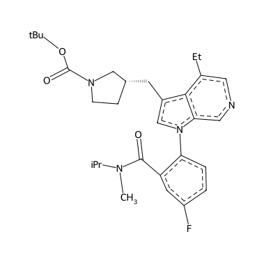 CCc1cncc2c1c(C[C@@H]1CCN(C(=O)OC(C)(C)C)C1)cn2-c1ccc(F)cc1C(=O)N(C)C(C)C